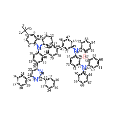 CC(C)(C)c1ccc2c(c1)c1ccccc1n2-c1ccc(-c2cc(-c3ccccc3)nc(-c3ccccc3)n2)cc1-c1ccc(-c2cccc(N3c4ccccc4B4c5ccccc5N(c5ccccc5)c5cccc3c54)c2)cc1